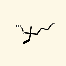 C=CC(C)(CCCC(C)C)OC=O